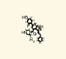 C[C@H]1CNCCN1C(=O)c1cc(-c2ccc(O)cc2F)nc2[nH]nc(/C=C/c3ccccc3)c12